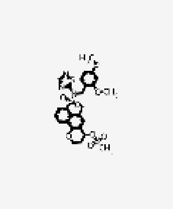 COc1ccc(CN(c2ncns2)S(=O)(=O)c2cccc3c4c(cc(F)c23)[C@H](OS(C)(=O)=O)CCO4)c(OC)c1